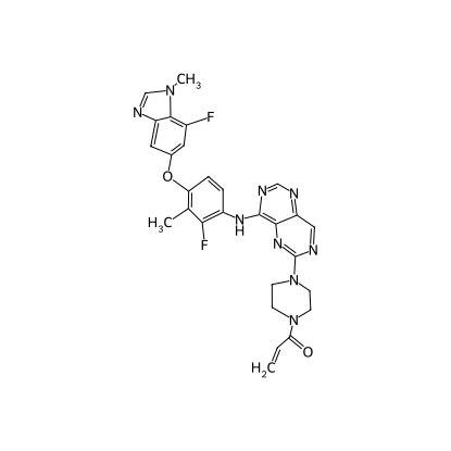 C=CC(=O)N1CCN(c2ncc3ncnc(Nc4ccc(Oc5cc(F)c6c(c5)ncn6C)c(C)c4F)c3n2)CC1